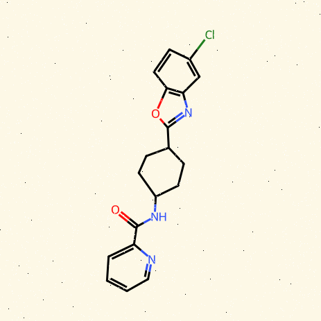 O=C(NC1CCC(c2nc3cc(Cl)ccc3o2)CC1)c1ccccn1